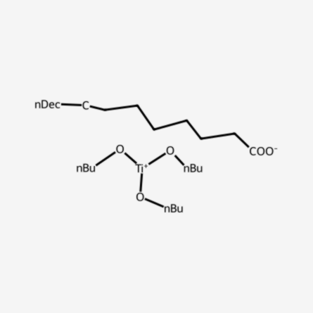 CCCCCCCCCCCCCCCCCC(=O)[O-].CCCC[O][Ti+]([O]CCCC)[O]CCCC